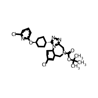 CC(C)(C)OC(=O)N1Cc2nnc([C@H]3CC[C@H](Oc4cccc(Cl)n4)CC3)n2C2C=CC(Cl)=CC2C1